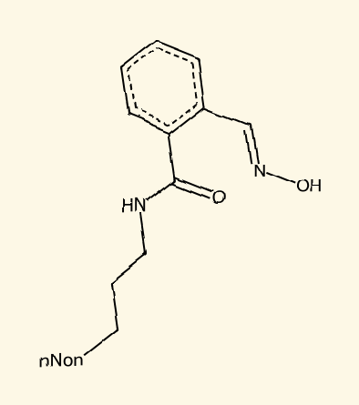 CCCCCCCCCCCCNC(=O)c1ccccc1/C=N/O